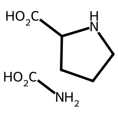 NC(=O)O.O=C(O)C1CCCN1